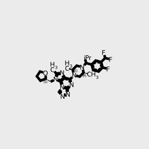 Cc1nc2c(N3C[C@@H](C)N(C(c4ccc(F)c(C(F)F)c4)C(C)C)C[C@@H]3C)nc3nncn3c2n1C[C@@H]1CCCO1